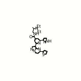 CCN(CC)C(C)CNC(=O)c1cc(-c2cc[nH]n2)nc(-c2cnn3ccc(-c4cccs4)nc23)c1